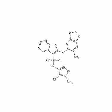 Cc1cc2c(cc1Cc1sc3ncccc3c1S(=O)(=O)Nc1noc(C)c1Cl)OCO2